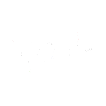 COC(=O)C1CCN(Cc2c(C)cc(Br)cc2F)CC1